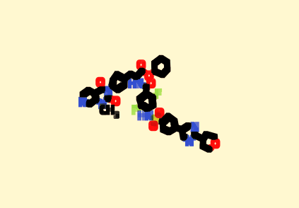 Cn1c(=O)n(-c2ccc(CC(NC(=O)c3cc(F)c(NS(=O)(=O)c4ccc(-c5cnc(C6CCOCC6)nc5)cc4)cc3F)C(=O)OC3CCCCC3)cc2)c(=O)c2ccncc21